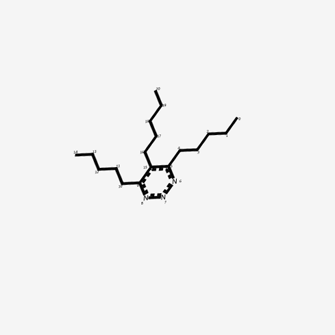 CCCCCc1nnnc(CCCCC)c1CCCCC